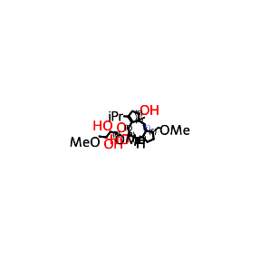 COCC(O)C(O)[C@H](OC)O[C@@H]1C2=C(C(C)C)C[C@H](O)[C@]2(C)/C=C2/[C@@H](COC)CC[C@H]2[C@@H](C)[C@H]1O